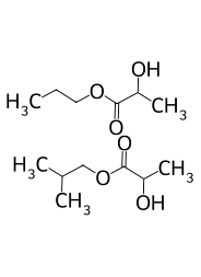 CC(C)COC(=O)C(C)O.CCCOC(=O)C(C)O